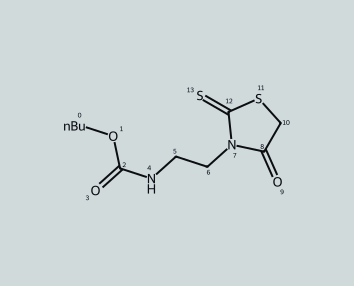 CCCCOC(=O)NCCN1C(=O)CSC1=S